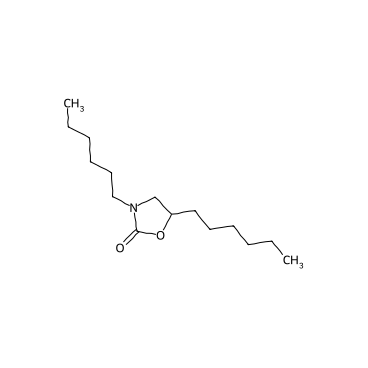 CCCCCCC1CN(CCCCCC)C(=O)O1